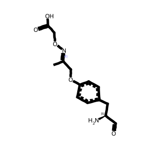 C/C(COc1ccc(C[C@H](N)C=O)cc1)=N\OCC(=O)O